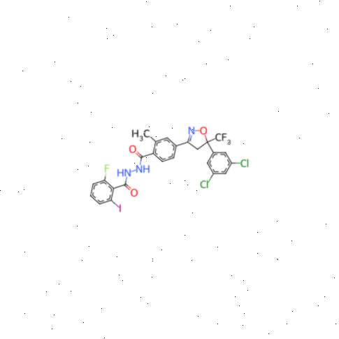 Cc1cc(C2=NOC(c3cc(Cl)cc(Cl)c3)(C(F)(F)F)C2)ccc1C(=O)NNC(=O)c1c(F)cccc1I